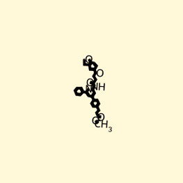 COC(=O)CCc1ccc(-c2cc(NC(=O)CCC(=O)c3ccc4c(c3)CCO4)nc(-c3ccccc3)c2)cc1